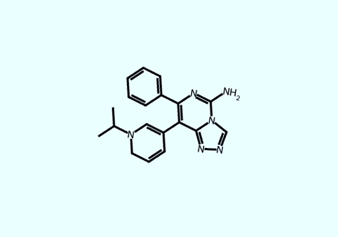 CC(C)N1C=C(c2c(-c3ccccc3)nc(N)n3cnnc23)C=CC1